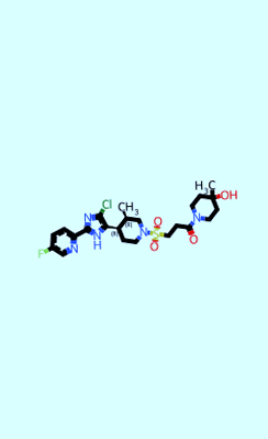 C[C@H]1CN(S(=O)(=O)CCC(=O)N2CCC(C)(O)CC2)CC[C@H]1c1[nH]c(-c2ccc(F)cn2)nc1Cl